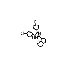 Clc1ccc([C@H]2N=C(c3cccc4c3OCCC4)N[C@H]2c2ccc(Cl)cc2)cc1